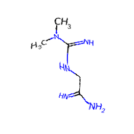 CN(C)C(=N)NCC(=N)N